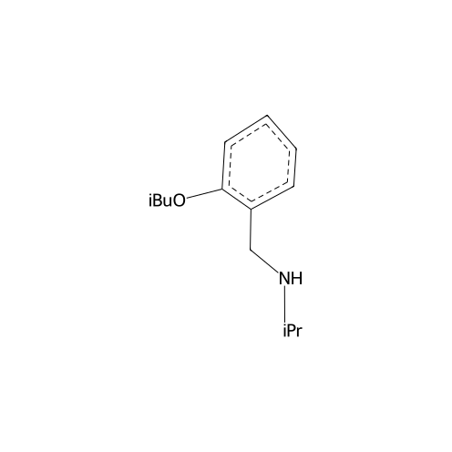 CC(C)COc1ccccc1CNC(C)C